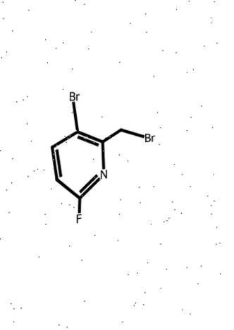 Fc1ccc(Br)c(CBr)n1